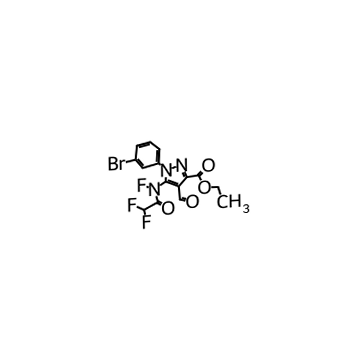 CCOC(=O)c1nn(-c2cccc(Br)c2)c(N(F)C(=O)C(F)F)c1C=O